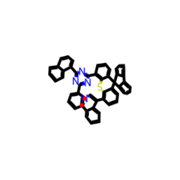 c1ccc(-c2nc(-c3cccc4c3Sc3c(-c5cncc6ccccc56)cccc3C43c4ccccc4-c4ccccc43)nc(-c3cccc4ccccc34)n2)cc1